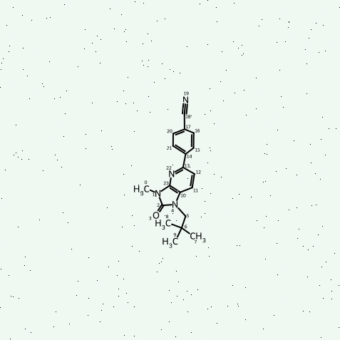 Cn1c(=O)n(CC(C)(C)C)c2ccc(-c3ccc(C#N)cc3)nc21